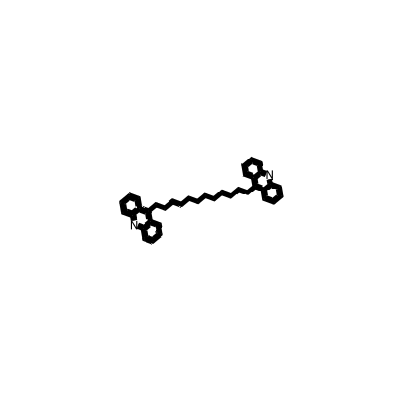 c1ccc2c(CCCCCCCCCCCCc3c4ccccc4nc4ccccc34)c3ccccc3nc2c1